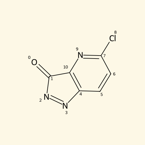 O=C1N=Nc2ccc(Cl)nc21